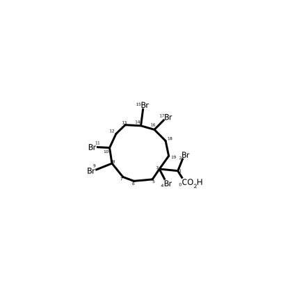 O=C(O)C(Br)C1(Br)CCCC(Br)C(Br)CCC(Br)C(Br)CC1